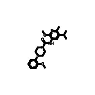 COc1ccccc1N1CCN(C(=O)Nc2cc(C(C)C)c(C)nc2OC)CC1